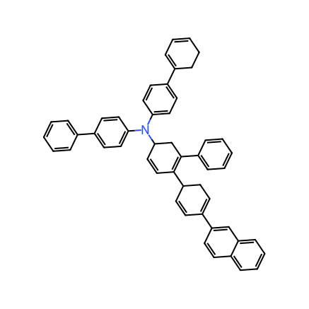 C1=CCCC(c2ccc(N(c3ccc(-c4ccccc4)cc3)C3C=CC(C4C=CC(c5ccc6ccccc6c5)=CC4)=C(c4ccccc4)C3)cc2)=C1